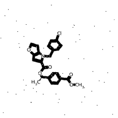 COC(=O)c1ccc([C@H](C)OC(=O)c2cc3occc3n2Cc2ccc(Cl)cc2)cc1